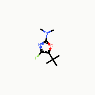 CN(C)c1nc(F)c(C(C)(C)C)o1